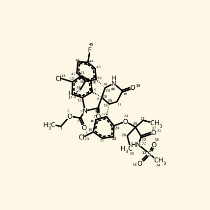 CCOC(=O)N1C(=O)[C@]2(c3ccc(Cl)cc31)[C@@H](c1cc(Cl)ccc1OC(CC)(CC)C(=O)NS(C)(=O)=O)CC(=O)N[C@H]2c1cc(F)ccc1C